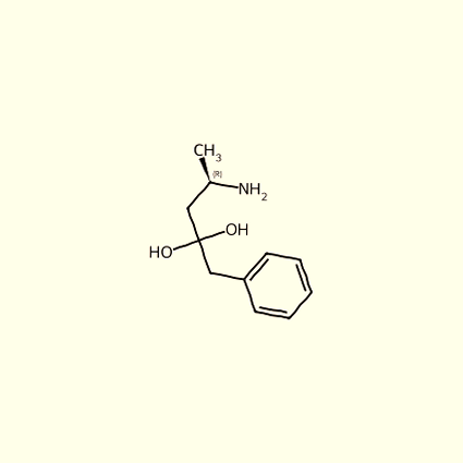 C[C@@H](N)CC(O)(O)Cc1ccccc1